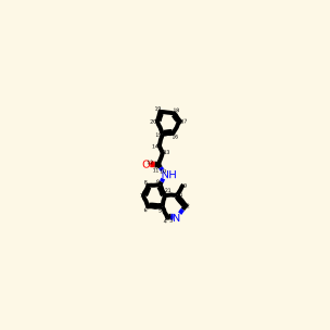 Cc1cncc2cccc(NC(=O)CCc3ccccc3)c12